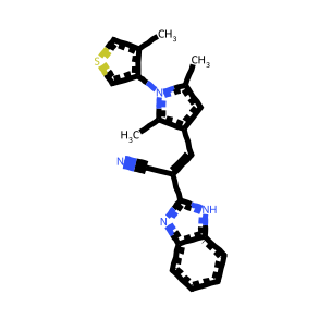 Cc1cscc1-n1c(C)cc(/C=C(\C#N)c2nc3ccccc3[nH]2)c1C